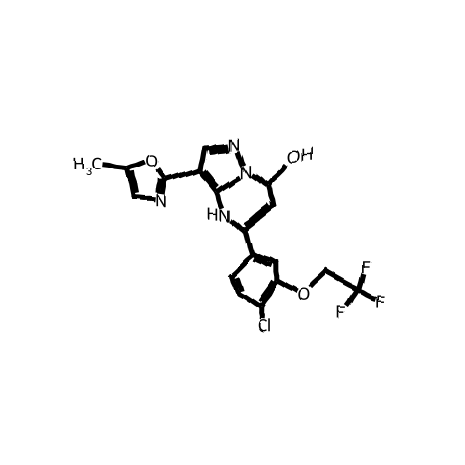 Cc1cnc(-c2cnn3c2NC(c2ccc(Cl)c(OCC(F)(F)F)c2)=CC3O)o1